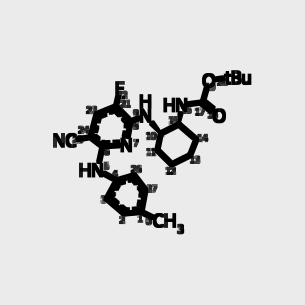 Cc1ccc(Nc2nc(N[C@@H]3CCCC[C@@H]3NC(=O)OC(C)(C)C)c(F)cc2C#N)cc1